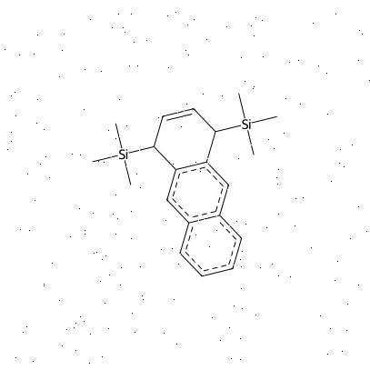 C[Si](C)(C)C1C=CC([Si](C)(C)C)c2cc3ccccc3cc21